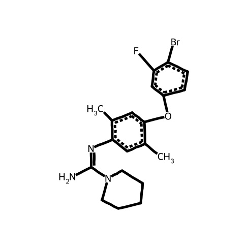 Cc1cc(Oc2ccc(Br)c(F)c2)c(C)cc1N=C(N)N1CCCCC1